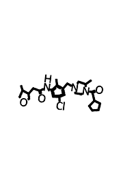 Cc1c(CN2CCN(C(=O)C3CCCC3)C(C)C2)cc(Cl)cc1NC(=O)CC1COCC1C